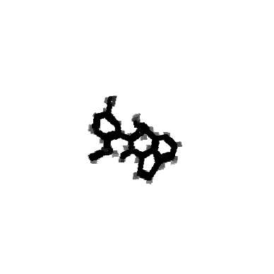 COc1ncc(Cl)cc1C(=O)N(C)C1CCc2cccc(C#N)c21